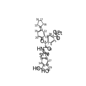 CCS(=O)(=O)c1ccc(C(Oc2ccc(C3CCCC3)cc2)C(=O)Nc2nc3cc(CO)c(CO)cc3s2)cc1